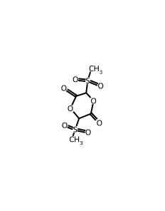 CS(=O)(=O)C1OC(=O)C(S(C)(=O)=O)OC1=O